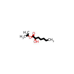 CCCCCC(O)C(=O)OC(C)C